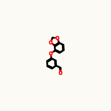 O=Cc1cccc(Oc2cccc3c2OCO3)c1